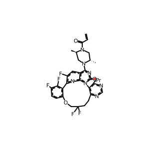 C=CC(=O)N1C[C@H](C)N(c2nc(=O)n3c4nc(c(F)cc24)-c2c(ccc(F)c2F)OCC(F)(F)CCc2ncnc(C(C)C)c2-3)C[C@H]1C